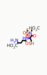 NC(CCC(=O)NC(CS)C(=O)N(CC(=O)O)S(=O)(O)=S)C(=O)O